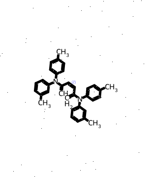 C=C(/C=C\C(=C)N(c1ccc(C)cc1)c1cccc(C)c1)N(c1ccc(C)cc1)c1cccc(C)c1